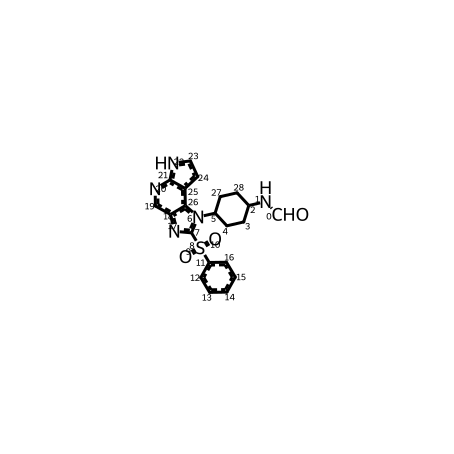 O=CNC1CCC(n2c(S(=O)(=O)c3ccccc3)nc3cnc4[nH]ccc4c32)CC1